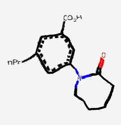 CCCc1cc(C(=O)O)cc(N2CCCCC2=O)c1